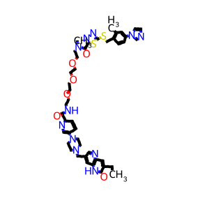 CCc1cc2ncc(CN3CCN(c4ccc(C(=O)NCCOCCOCCOCCN(C)C(=O)c5nnc(SCc6ccc(-n7ccnc7)cc6C)s5)nc4)CC3)cc2[nH]c1=O